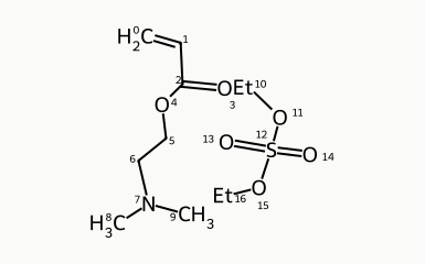 C=CC(=O)OCCN(C)C.CCOS(=O)(=O)OCC